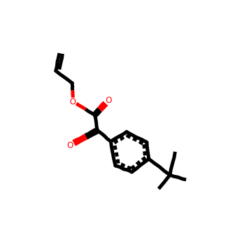 C=CCOC(=O)C(=O)c1ccc(C(C)(C)C)cc1